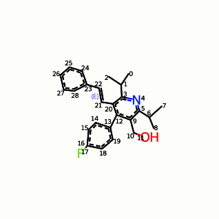 CC(C)c1nc(C(C)C)c(CO)c(-c2ccc(F)cc2)c1/C=C/c1ccccc1